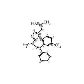 CC1N=C(c2ccccc2)c2cc(C(F)(F)F)ccc2-n2c(CN(C)C)cnc21